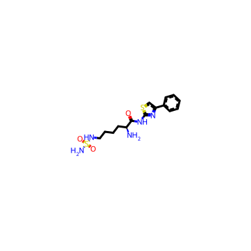 N[C@@H](CCCCNS(N)(=O)=O)C(=O)Nc1nc(-c2ccccc2)cs1